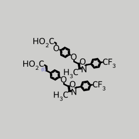 Cc1nc(-c2ccc(C(F)(F)F)cc2)oc1COc1ccc(/C=C/C(=O)O)cc1.Cc1nc(-c2ccc(C(F)(F)F)cc2)oc1COc1ccc(OCC(=O)O)cc1